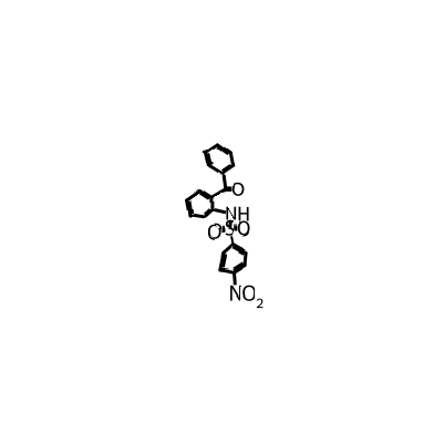 O=C(c1ccccc1)c1ccccc1NS(=O)(=O)c1ccc([N+](=O)[O-])cc1